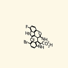 Cc1ccc(F)c2[nH]c(C(F)(F)F)c(C(C(N)=O)c3c(C(=O)O)[nH]c4ccc(Br)cc34)c12